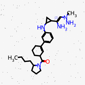 CCCCC1CCCN1C(=O)C1C=C(c2cccc(NC3CC3/C(N)=C/N(C)N)c2)CCC1